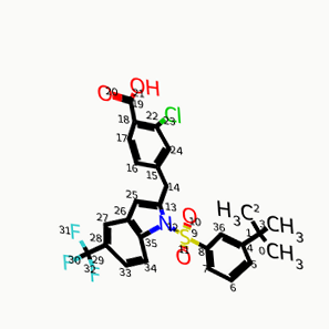 CC(C)(C)c1cccc(S(=O)(=O)n2c(Cc3ccc(C(=O)O)c(Cl)c3)cc3cc(C(F)(F)F)ccc32)c1